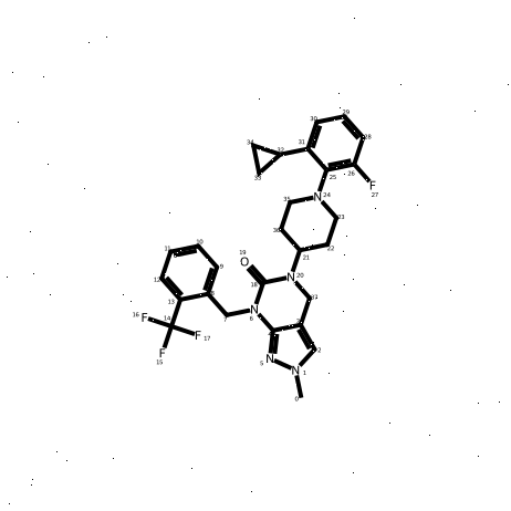 Cn1cc2c(n1)N(Cc1ccccc1C(F)(F)F)C(=O)N(C1CCN(c3c(F)cccc3C3CC3)CC1)C2